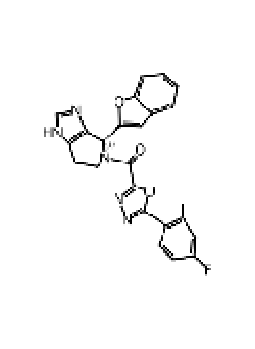 Cc1cc(F)ccc1-c1nnc(C(=O)N2CCc3[nH]cnc3[C@H]2c2cc3ccccc3o2)o1